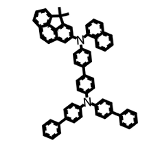 CC1(C)c2cccc3ccc4cc(N(c5ccc(-c6ccc(N(c7ccc(-c8ccccc8)cc7)c7ccc(-c8ccccc8)cc7)cc6)cc5)c5cccc6ccccc56)cc1c4c23